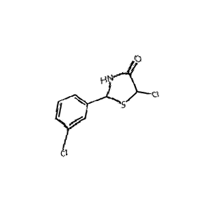 O=C1NC(c2cccc(Cl)c2)SC1Cl